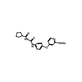 CC(=O)Nc1cc(Oc2ccc(NC(=O)NC(=O)C3CCCC3)nc2)ccn1